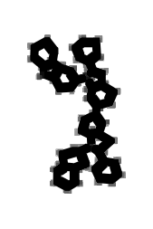 C1=Cc2c(sc3ccc(-n4c(-c5ccccc5)cc5ccc(-c6ccc7c(c6)CC(c6ccccc6)N7c6ccc7ccccc7c6)cc54)cc23)CC1